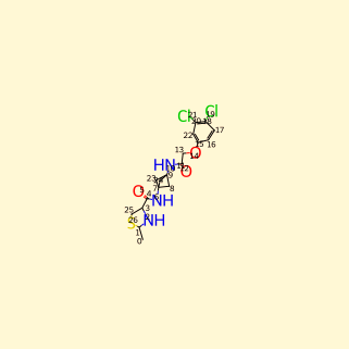 CC1NC(C(=O)NC23CC(NC(=O)COc4ccc(Cl)c(Cl)c4)(C2)C3)CS1